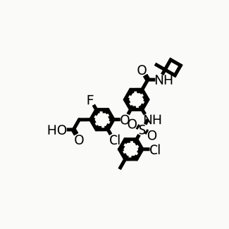 Cc1ccc(S(=O)(=O)Nc2cc(C(=O)NC3(C)CCC3)ccc2Oc2cc(F)c(CC(=O)O)cc2Cl)c(Cl)c1